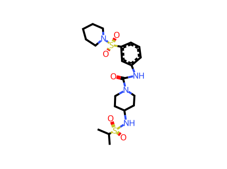 CC(C)S(=O)(=O)NC1CCN(C(=O)Nc2cccc(S(=O)(=O)N3CCCCC3)c2)CC1